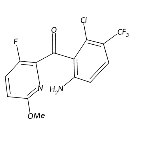 COc1ccc(F)c(C(=O)c2c(N)ccc(C(F)(F)F)c2Cl)n1